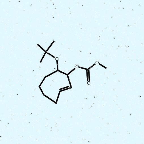 COC(=O)OC1/C=C/CCCCC1OC(C)(C)C